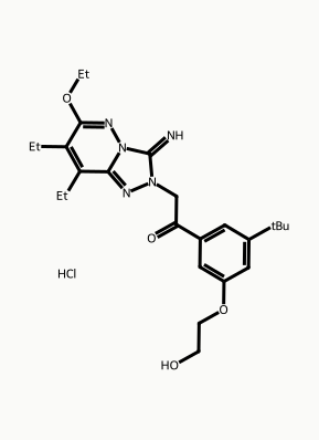 CCOc1nn2c(=N)n(CC(=O)c3cc(OCCO)cc(C(C)(C)C)c3)nc2c(CC)c1CC.Cl